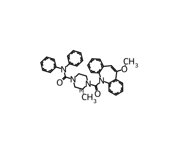 COC1=Cc2ccccc2N(C(=O)N2CCN(C(=O)N(c3ccccc3)c3ccccc3)C[C@H]2C)c2ccccc21